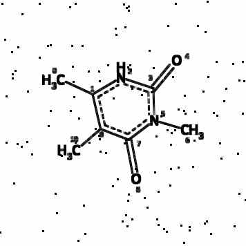 Cc1[nH]c(=O)n(C)c(=O)c1C